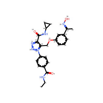 CCNC(=O)c1ccc(-n2nnc(C(=O)NC3CC3)c2COc2cccc(C(C)=NO)c2)cc1